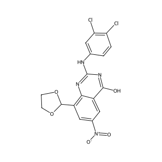 O=[N+]([O-])c1cc(C2OCCO2)c2nc(Nc3ccc(Cl)c(Cl)c3)nc(O)c2c1